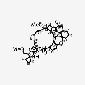 COCCC1(NC(=O)N[S@@]2(=O)=NC(=O)c3ccc4c(c3)N(C[C@@H]3CC[C@H]3[C@@H](OC)/C=C/C[C@H](C)C2)C[C@@]2(CCCc3cc(Cl)ccc32)CO4)CCC1